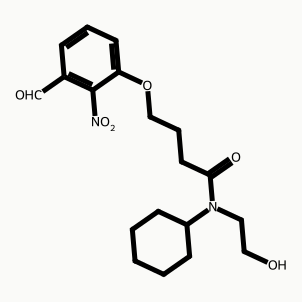 O=Cc1cccc(OCCCC(=O)N(CCO)C2CCCCC2)c1[N+](=O)[O-]